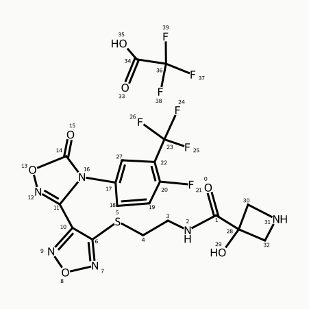 O=C(NCCSc1nonc1-c1noc(=O)n1-c1ccc(F)c(C(F)(F)F)c1)C1(O)CNC1.O=C(O)C(F)(F)F